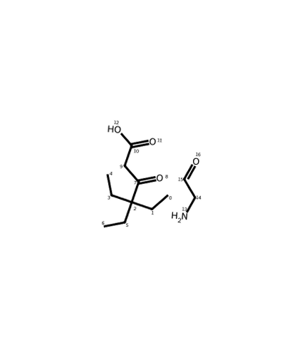 CCC(CC)(CC)C(=O)CC(=O)O.NCC=O